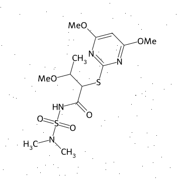 COc1cc(OC)nc(SC(C(=O)NS(=O)(=O)N(C)C)C(C)OC)n1